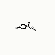 CCOCC(=O)N1CCN(CC)CC1